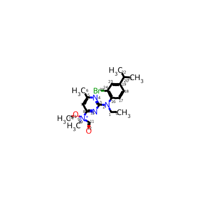 CCN(c1nc(C)cc([N+](C)(C=O)OC)n1)c1ccc(C(C)C)cc1Br